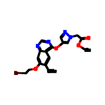 COc1cc2c(Oc3cnn(CC(=O)OC(C)(C)C)c3)ncnc2cc1OCCBr